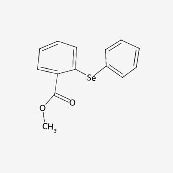 COC(=O)c1ccccc1[Se]c1ccccc1